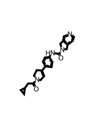 O=C(CC1CC1)N1CC=C(c2ccc(NC(=O)N3Cc4ccncc4C3)cc2)CC1